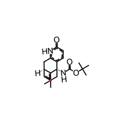 C/C=C1\[C@H]2C=C(C)C[C@]1(NC(=O)OC(C)(C)C)c1ccc(=O)[nH]c1C2